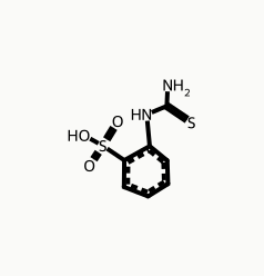 NC(=S)Nc1ccccc1S(=O)(=O)O